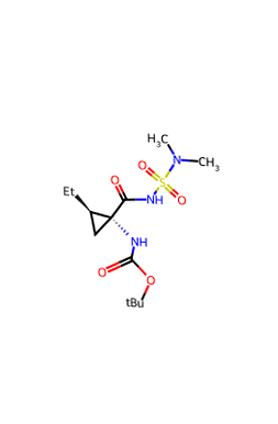 CC[C@@H]1C[C@]1(NC(=O)OC(C)(C)C)C(=O)NS(=O)(=O)N(C)C